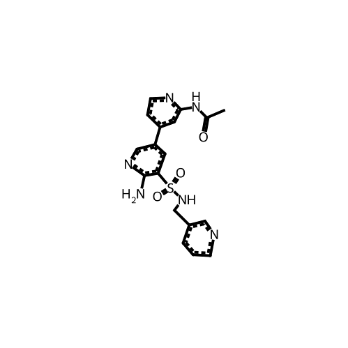 CC(=O)Nc1cc(-c2cnc(N)c(S(=O)(=O)NCc3cccnc3)c2)ccn1